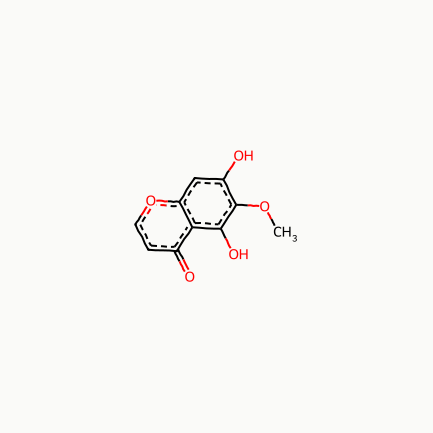 COc1c(O)cc2occc(=O)c2c1O